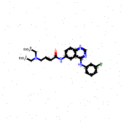 CCOC(=O)CN(C/C=C/C(=O)Nc1ccc2ncnc(Nc3cccc(Br)c3)c2c1)CC(=O)OCC